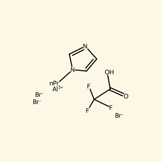 CCCn1ccnc1.O=C(O)C(F)(F)F.[Al+3].[Br-].[Br-].[Br-]